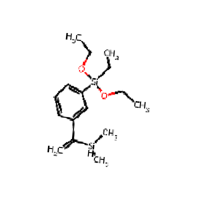 C=C(c1cccc([Si](CC)(OCC)OCC)c1)[SiH](C)C